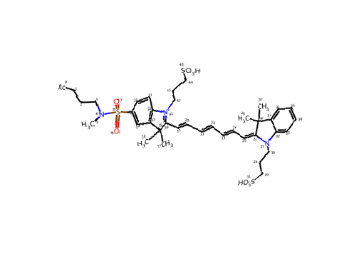 CC(=O)CCCN(C)S(=O)(=O)c1ccc2c(c1)C(C)(C)C(/C=C/C=C/C=C/C=C1/N(CCCS(=O)(=O)O)c3ccccc3C1(C)C)=[N+]2CCCS(=O)(=O)O